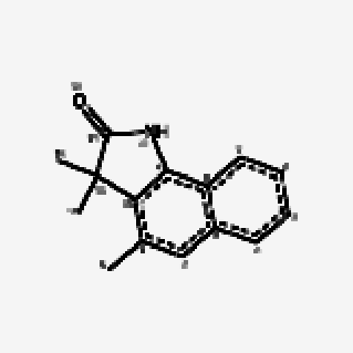 Cc1cc2ccccc2c2c1C(C)(C)C(=O)N2